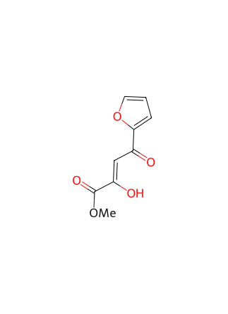 COC(=O)/C(O)=C/C(=O)c1ccco1